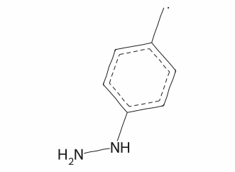 [CH2]c1ccc(NN)cc1